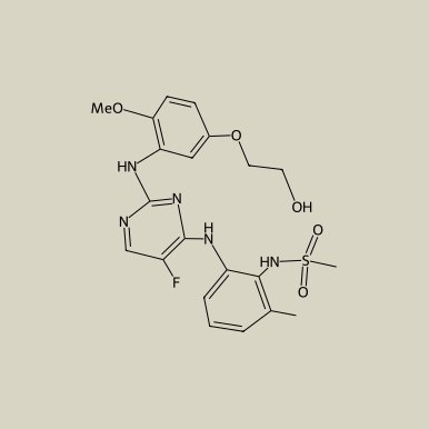 COc1ccc(OCCO)cc1Nc1ncc(F)c(Nc2cccc(C)c2NS(C)(=O)=O)n1